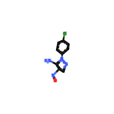 Nc1c(N=O)cnn1-c1ccc(Cl)cc1